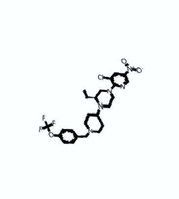 CC[C@H]1CN(c2ncc([N+](=O)[O-])cc2Cl)CCN1C1CCN(Cc2ccc(OC(F)(F)F)cc2)CC1